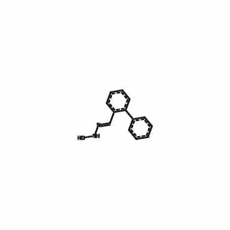 ONN=Cc1ccccc1-c1cc[c]cc1